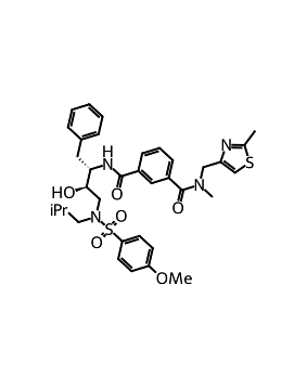 COc1ccc(S(=O)(=O)N(CC(C)C)C[C@@H](O)[C@H](Cc2ccccc2)NC(=O)c2cccc(C(=O)N(C)Cc3csc(C)n3)c2)cc1